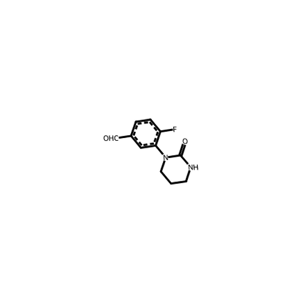 O=Cc1ccc(F)c(N2CCCNC2=O)c1